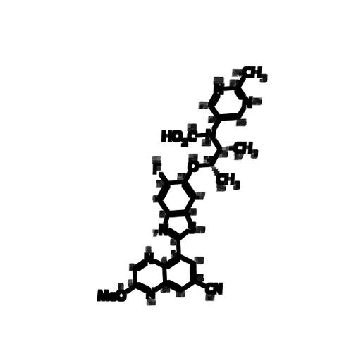 COc1cnc2c(-c3nc4cc(F)c(O[C@@H](C)[C@@H](C)N(C(=O)O)c5cnc(C)nc5)cc4s3)cc(C#N)cc2n1